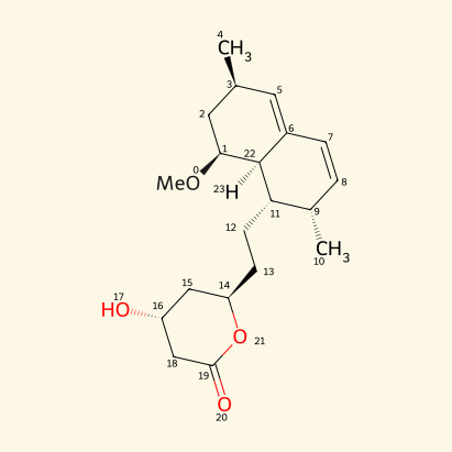 CO[C@H]1C[C@@H](C)C=C2C=C[C@H](C)[C@H](CC[C@@H]3C[C@@H](O)CC(=O)O3)[C@H]21